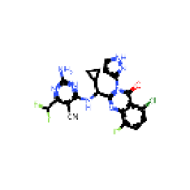 N#Cc1c(NC(c2nc3c(F)ccc(Cl)c3c(=O)n2-c2cc[nH]n2)C2CC2)nc(N)nc1C(F)F